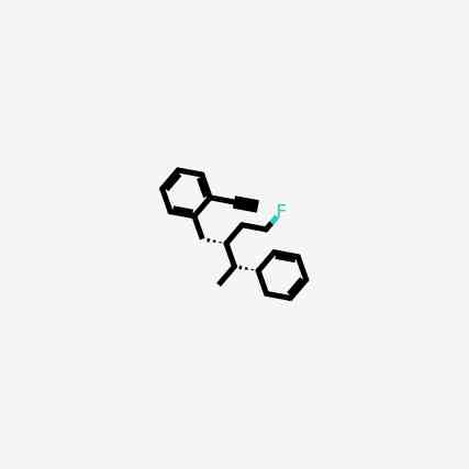 C#Cc1ccccc1C[C@H](CCF)C(C)[C@@H]1C=CC=CC1